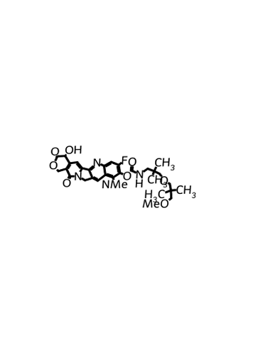 CNc1c(OC(=O)NCC(C)(C)COCC(C)(C)COC)c(F)cc2nc3c(cc12)Cn1c-3cc2c(c1=O)COC(=O)[C@H]2O